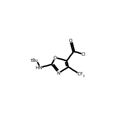 CC(C)(C)Nc1nc(C(F)(F)F)c(C(=O)Cl)o1